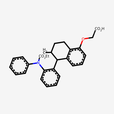 CCOC(=O)N(c1ccccc1)c1ccccc1C1c2cccc(OCC(=O)O)c2CCC1C